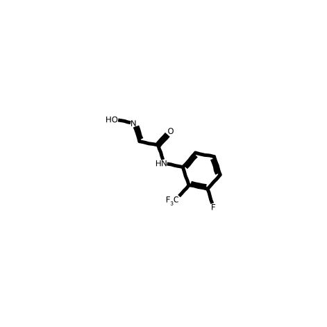 O=C(C=NO)Nc1cccc(F)c1C(F)(F)F